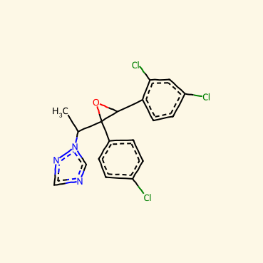 CC(n1cncn1)C1(c2ccc(Cl)cc2)OC1c1ccc(Cl)cc1Cl